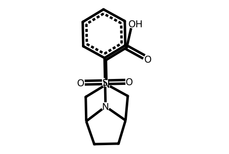 O=C(O)CN1CC2CCC(C1)N2S(=O)(=O)c1ccccc1